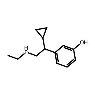 CCPCC(c1cccc(O)c1)C1CC1